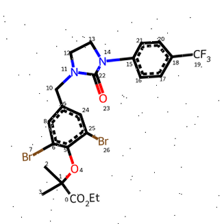 CCOC(=O)C(C)(C)Oc1c(Br)cc(CN2CCN(c3ccc(C(F)(F)F)cc3)C2=O)cc1Br